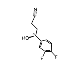 N#CCC[C@H](O)c1ccc(F)c(F)c1